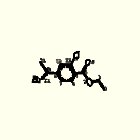 CCOC(=O)c1ccc(C(C)Br)cc1Cl